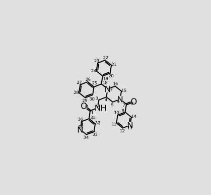 O=C(NCC1CN(C(=O)c2cccnc2)CCN1C(c1ccccc1)c1ccccc1)c1cccnc1